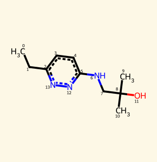 CCc1ccc(NCC(C)(C)O)nn1